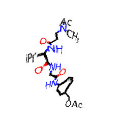 CC(=O)OCc1ccc(NC(=O)CNC(=O)C(NC(=O)CCN(C)C(C)=O)C(C)C)cc1